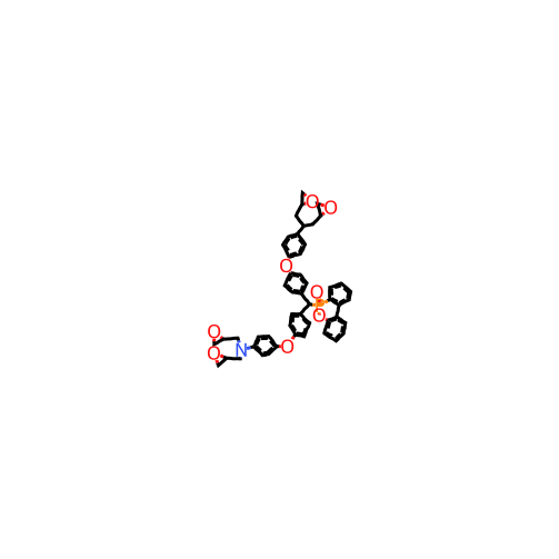 O=P1(C(c2ccc(Oc3ccc(C(CC4CO4)CC4CO4)cc3)cc2)c2ccc(Oc3ccc(N(CC4CO4)CC4CO4)cc3)cc2)Oc2ccccc2-c2ccccc21